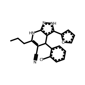 CCCC1=C(C#N)C(c2ccccc2Cl)c2c(n[nH]c2-c2ccco2)N1